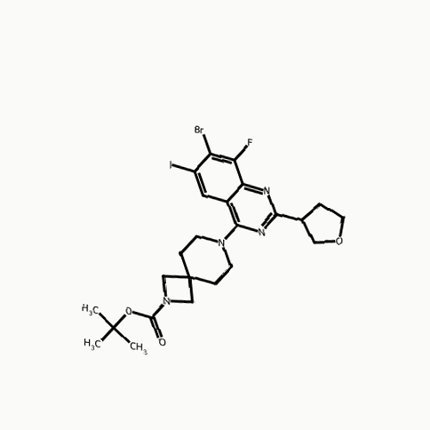 CC(C)(C)OC(=O)N1CC2(CCN(c3nc(C4CCOC4)nc4c(F)c(Br)c(I)cc34)CC2)C1